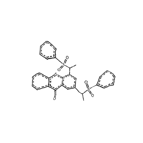 CC(c1cc(C(C)S(=O)(=O)c2ccccc2)c2sc3ccccc3c(=O)c2c1)S(=O)(=O)c1ccccc1